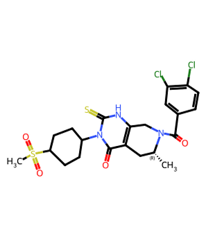 C[C@@H]1Cc2c([nH]c(=S)n(C3CCC(S(C)(=O)=O)CC3)c2=O)CN1C(=O)c1ccc(Cl)c(Cl)c1